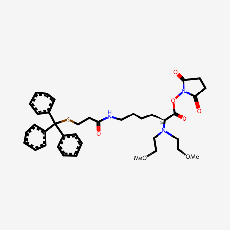 COCCN(CCOC)[C@@H](CCCCNC(=O)CCSC(c1ccccc1)(c1ccccc1)c1ccccc1)C(=O)ON1C(=O)CCC1=O